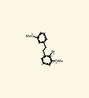 COc1cccc(CCc2[c]ccc(OC)c2Br)c1